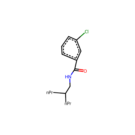 CCCC(CCC)CNC(=O)c1cccc(Cl)c1